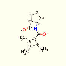 CC1=C(C)[C@@H](C(=O)N2C(=O)C3CCCC32)C1C